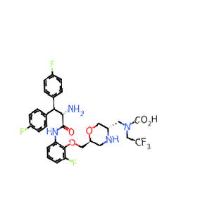 N[C@H](C(=O)Nc1cccc(F)c1OC[C@@H]1CN[C@@H](CN(CC(F)(F)F)C(=O)O)CO1)C(c1ccc(F)cc1)c1ccc(F)cc1